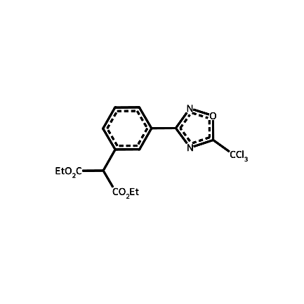 CCOC(=O)C(C(=O)OCC)c1cccc(-c2noc(C(Cl)(Cl)Cl)n2)c1